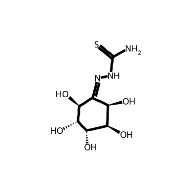 NC(=S)NN=C1[C@@H](O)[C@@H](O)[C@H](O)[C@H](O)[C@H]1O